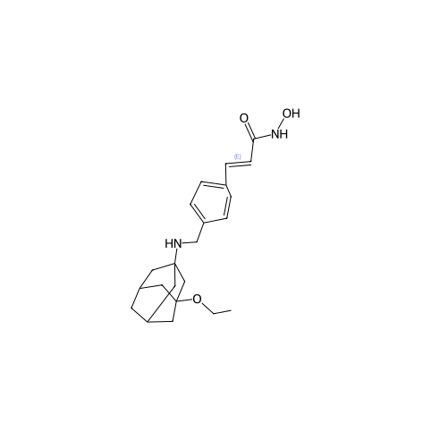 CCOC12CC3CC(CC(NCc4ccc(/C=C/C(=O)NO)cc4)(C3)C1)C2